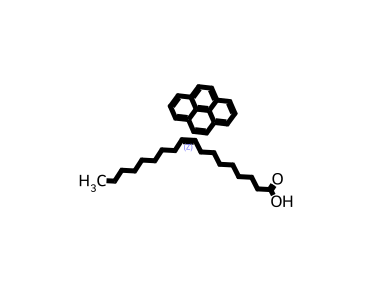 CCCCCCCC/C=C\CCCCCCCC(=O)O.c1cc2ccc3cccc4ccc(c1)c2c34